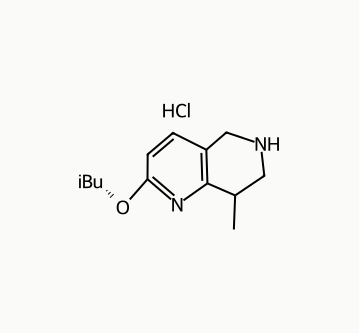 CC[C@@H](C)Oc1ccc2c(n1)C(C)CNC2.Cl